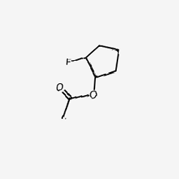 [CH2]C(=O)OC1CCCC1F